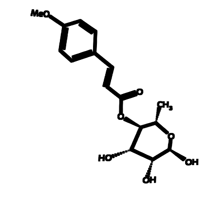 COc1ccc(C=CC(=O)O[C@@H]2[C@@H](O)[C@@H](O)[C@H](O)O[C@H]2C)cc1